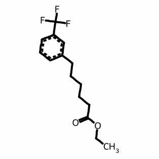 CCOC(=O)CCCCCc1cccc(C(F)(F)F)c1